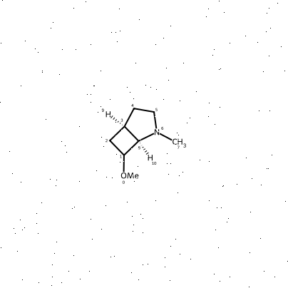 COC1C[C@H]2CCN(C)[C@@H]12